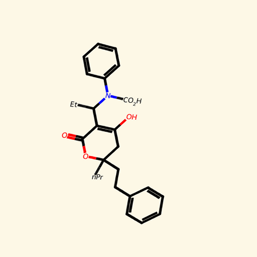 CCCC1(CCc2ccccc2)CC(O)=C(C(CC)N(C(=O)O)c2ccccc2)C(=O)O1